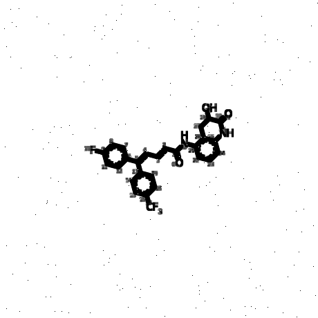 O=C(/C=C/C=C(/c1ccc(F)cc1)c1ccc(C(F)(F)F)cc1)Nc1cccc2c1CC(O)C(=O)N2